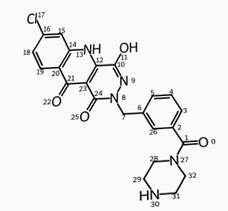 O=C(c1cccc(Cn2nc(O)c3[nH]c4cc(Cl)ccc4c(=O)c3c2=O)c1)N1CCNCC1